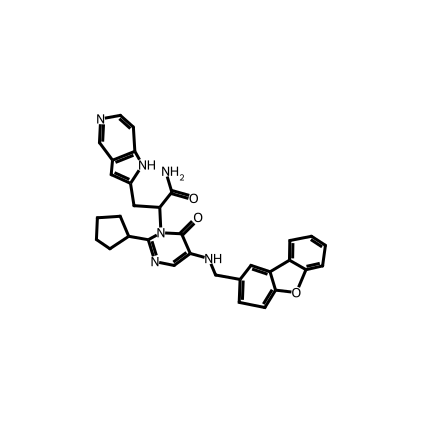 NC(=O)C(Cc1cc2cnccc2[nH]1)n1c(C2CCCC2)ncc(NCc2ccc3oc4ccccc4c3c2)c1=O